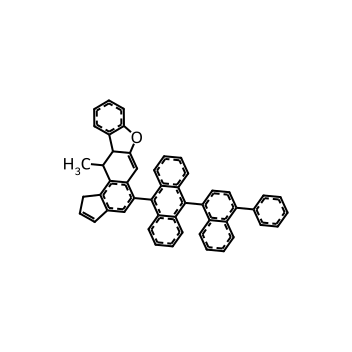 CC1c2c(c(-c3c4ccccc4c(-c4ccc(-c5ccccc5)c5ccccc45)c4ccccc34)cc3c2CC=C3)C=C2Oc3ccccc3C21